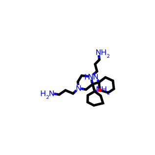 NCCCN1CCN(CCCN)C(C2(N)CCCCC2)(C2(N)CCCCC2)C1